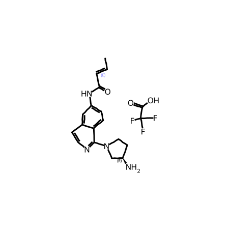 C/C=C/C(=O)Nc1ccc2c(N3CC[C@@H](N)C3)nccc2c1.O=C(O)C(F)(F)F